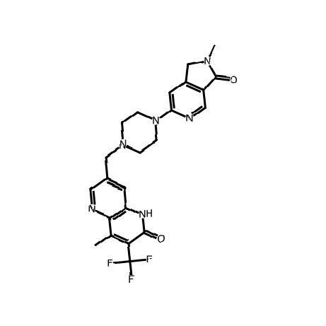 Cc1c(C(F)(F)F)c(=O)[nH]c2cc(CN3CCN(c4cc5c(cn4)C(=O)N(C)C5)CC3)cnc12